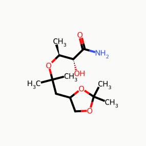 C[C@H](OC(C)(C)CC1COC(C)(C)O1)[C@@H](O)C(N)=O